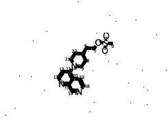 CS(=O)(=O)OCCC1CCN(c2ccnc3cnccc23)CC1